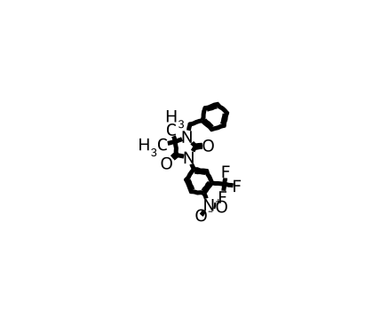 CC1(C)C(=O)N(c2ccc([N+](=O)[O-])c(C(F)(F)F)c2)C(=O)N1Cc1ccccc1